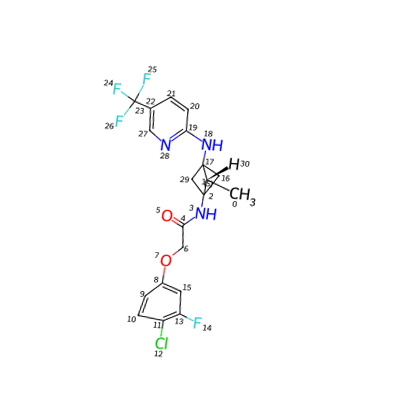 C[C@@H]1C2(NC(=O)COc3ccc(Cl)c(F)c3)CC1(Nc1ccc(C(F)(F)F)cn1)C2